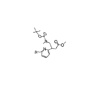 COC(=O)CC(CN(C)C(=O)OC(C)(C)C)c1cccc(Br)n1